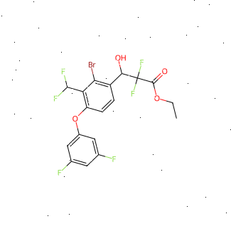 CCOC(=O)C(F)(F)C(O)c1ccc(Oc2cc(F)cc(F)c2)c(C(F)F)c1Br